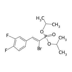 CC(C)OP(=O)(OC(C)C)C(Br)=Cc1ccc(F)c(F)c1